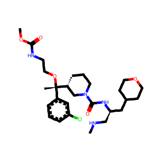 CNC[C@H](CC1CCOCC1)NC(=O)N1CCC[C@@H]([C@@](C)(OCCNC(=O)OC)c2cccc(Cl)c2)C1